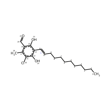 CCCCCCCCCC/C=C/c1c(O)c(Cl)c(C)c(C=O)c1O